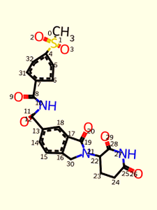 CS(=O)(=O)c1ccc(C(=O)NC(=O)c2ccc3c(c2)C(=O)N(C2CCC(=O)NC2=O)C3)cc1